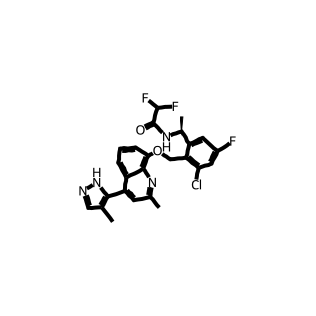 Cc1cc(-c2[nH]ncc2C)c2cccc(OCc3c(Cl)cc(F)cc3[C@H](C)NC(=O)C(F)F)c2n1